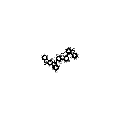 c1ccc2c(c1)sc1cc3c4ccccc4n(-c4ccc5oc6c(-c7cccc8sc9ccccc9c78)cccc6c5c4)c3cc12